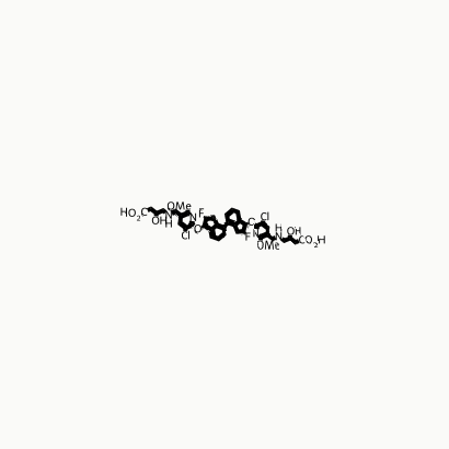 COc1nc(O[C@@H]2c3cccc(-c4cccc5c4C[C@H](F)[C@@H]5Oc4nc(OC)c(CNCC(O)CC(=O)O)cc4Cl)c3C[C@@H]2F)c(Cl)cc1CNCC(O)CC(=O)O